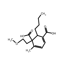 CCCCC1C(C(=O)O)=CC=C(C)C1(CCOC)C(=O)O